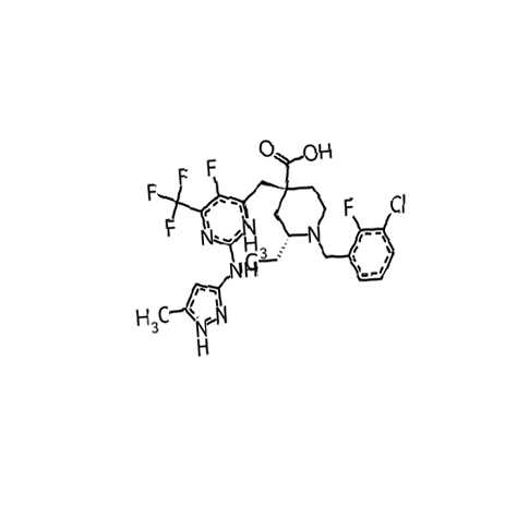 CC[C@@H]1C[C@](Cc2nc(Nc3cc(C)[nH]n3)nc(C(F)(F)F)c2F)(C(=O)O)CCN1Cc1cccc(Cl)c1F